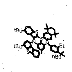 CCCCC(C)(C)c1ccc(N2c3cc4c(cc3B3c5sc6ccc(C(C)(C)C)cc6c5N(c5ccc(C(C)(C)C)c6sc7ccccc7c56)c5cc(C)cc2c53)C(C)(C)CCC4(C)C)cc1CC